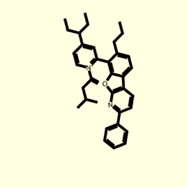 C=C(CC(C)C)[n+]1ccc(C(CC)CC)cc1-c1c(CCC)ccc2c1oc1nc(-c3ccccc3)ccc12